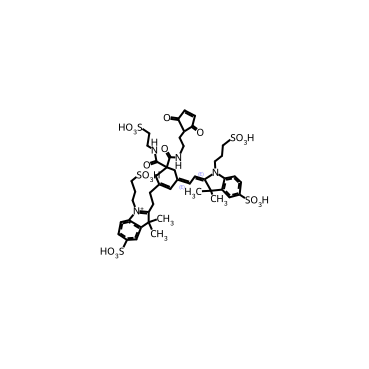 CC1(C)C(CCC2=C/C(=C/C=C3/N(CCCS(=O)(=O)O)c4ccc(S(=O)(=O)O)cc4C3(C)C)CC(C(=O)NCCC3C(=O)C=CC3=O)(C(=O)NCCS(=O)(=O)O)C2)=[N+](CCCS(=O)(=O)O)c2ccc(S(=O)(=O)O)cc21